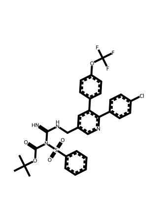 CC(C)(C)OC(=O)N(C(=N)NCc1cnc(-c2ccc(Cl)cc2)c(-c2ccc(OC(F)(F)F)cc2)c1)S(=O)(=O)c1ccccc1